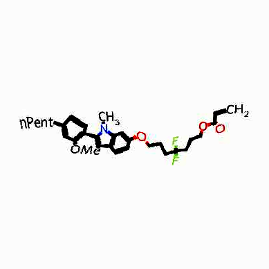 C=CC(=O)OCCCC(F)(F)CCCOc1ccc2cc(-c3ccc(CCCCC)cc3OC)n(C)c2c1